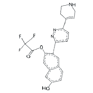 O=C(Oc1cc2cc(O)ccc2cc1-c1ccc(C2=CCNCC2)nn1)C(F)(F)F